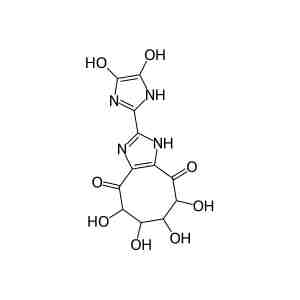 O=C1c2nc(-c3nc(O)c(O)[nH]3)[nH]c2C(=O)C(O)C(O)C(O)C1O